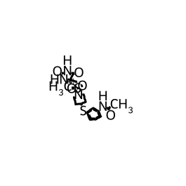 CC(=O)Nc1cccc(SC2CCN(S(=O)(=O)C[C@@]3(C)NC(=O)NC3=O)CC2)c1